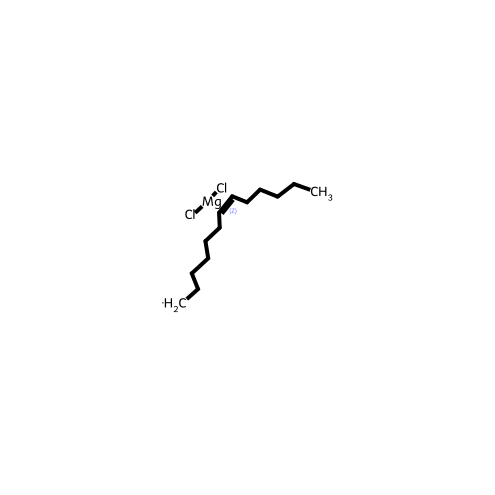 [CH2]CCCCC/C=C\CCCCC.[Cl][Mg][Cl]